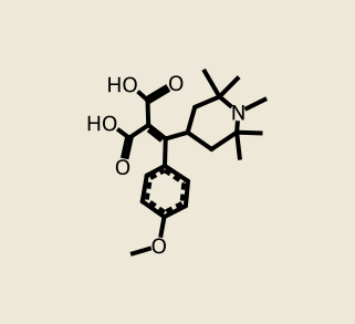 COc1ccc(C(=C(C(=O)O)C(=O)O)C2CC(C)(C)N(C)C(C)(C)C2)cc1